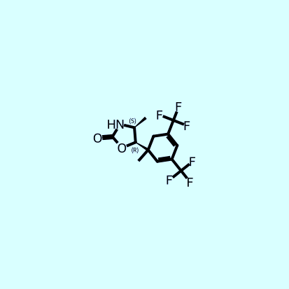 C[C@@H]1NC(=O)O[C@@H]1C1(C)C=C(C(F)(F)F)C=C(C(F)(F)F)C1